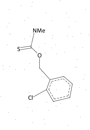 CNC(=S)OCc1ccccc1Cl